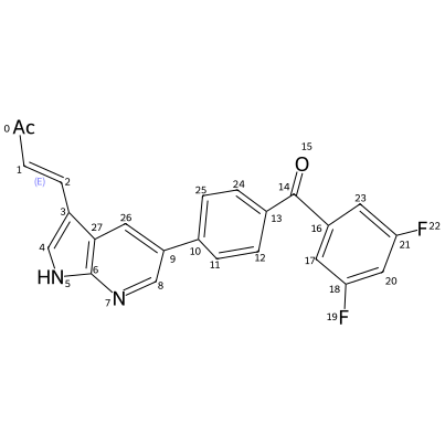 CC(=O)/C=C/c1c[nH]c2ncc(-c3ccc(C(=O)c4cc(F)cc(F)c4)cc3)cc12